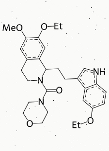 CCOc1ccc2[nH]cc(CCC3c4cc(OCC)c(OC)cc4CCN3C(=O)N3CCOCC3)c2c1